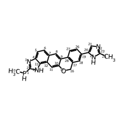 CPc1nc2ccc3cc4c(cc3c2[nH]1)OCc1cc(-c2cnc(C)[nH]2)ccc1-4